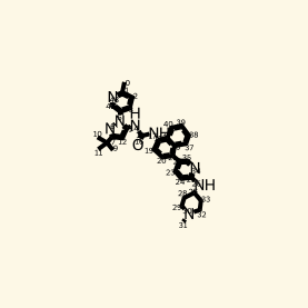 Cc1ccc(-n2nc(C(C)(C)C)cc2NC(=O)Nc2ccc(-c3ccc(NC4CCN(C)CC4)nc3)c3ccccc23)cn1